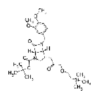 COc1ccc(CN2C(=O)[C@@H]3[C@H]2[C@H](CC(=O)COCC[Si](C)(C)C)CN3C(=O)OC(C)(C)C)cc1OC